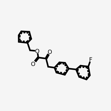 O=C(Cc1ccc(-c2cccc(F)c2)cc1)C(=O)OCc1ccccc1